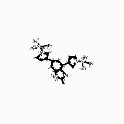 Cc1nc2c(-c3ccn([Si](C(C)C)(C(C)C)C(C)C)c3)cc(-c3ccn([Si](C(C)C)(C(C)C)C(C)C)c3)cc2[nH]1